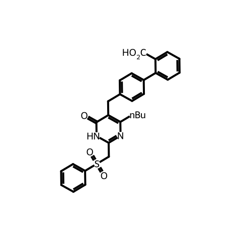 CCCCc1nc(CS(=O)(=O)c2ccccc2)[nH]c(=O)c1Cc1ccc(-c2ccccc2C(=O)O)cc1